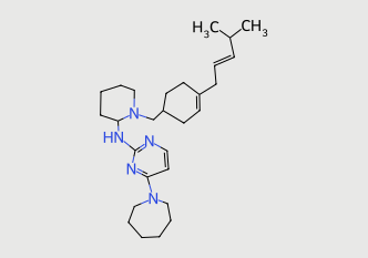 CC(C)C=CCC1=CCC(CN2CCCCC2Nc2nccc(N3CCCCCC3)n2)CC1